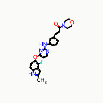 Cc1cc2c(F)c(Oc3ccnc(Nc4cccc(C=CC(=O)N5CCOCC5)c4)n3)ccc2[nH]1